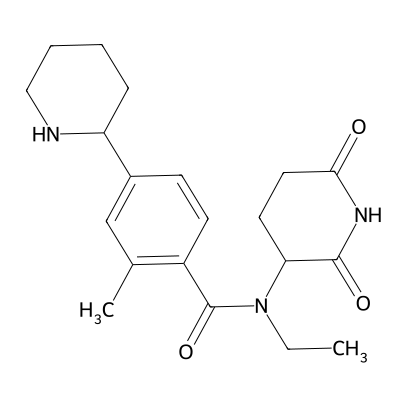 CCN(C(=O)c1ccc(C2CCCCN2)cc1C)C1CCC(=O)NC1=O